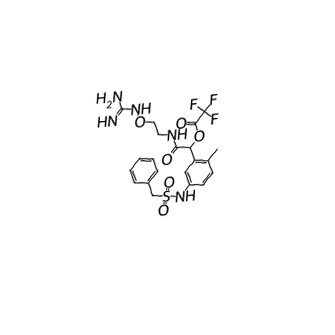 Cc1ccc(NS(=O)(=O)Cc2ccccc2)cc1C(OC(=O)C(F)(F)F)C(=O)NCCONC(=N)N